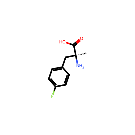 C[C@](N)(Cc1ccc(F)cc1)C(=O)O